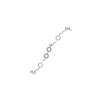 CCCCC[C@H]1CC[C@H](CCCOc2ccc(-c3ccc(CC[C@H]4CC[C@H](CCC)CC4)cc3)cc2)CC1